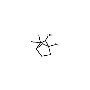 CC(=O)C12CCC(C1)C(C)(C)C2O